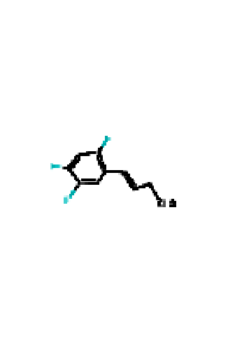 O=CCC=Cc1cc(F)c(F)cc1F